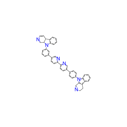 C1=CC2c3ccccc3N(c3cccc(-c4ccc(-c5ccc(-c6ccc(-n7c8c(c9ccccc97)CCN=C8)cc6)cn5)nc4)c3)C2C=N1